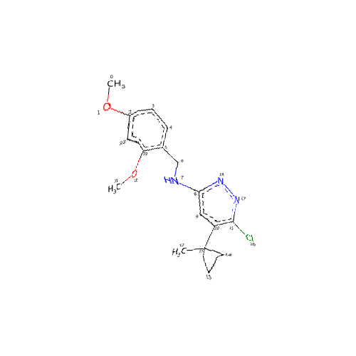 COc1ccc(CNc2cc(C3(C)CC3)c(Cl)nn2)c(OC)c1